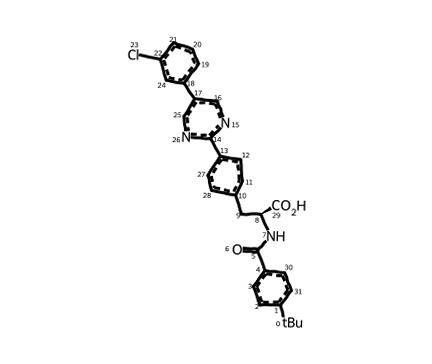 CC(C)(C)c1ccc(C(=O)N[C@@H](Cc2ccc(-c3ncc(-c4cccc(Cl)c4)cn3)cc2)C(=O)O)cc1